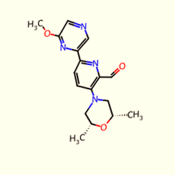 COc1cncc(-c2ccc(N3C[C@@H](C)O[C@@H](C)C3)c(C=O)n2)n1